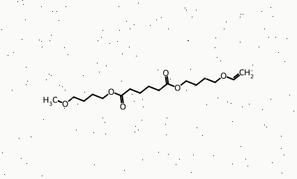 C=COCCCCOC(=O)CCCCC(=O)OCCCCOC